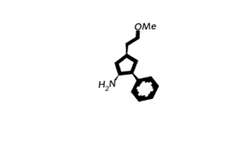 COCC[C@@H]1C[C@@H](N)[C@H](c2ccccc2)C1